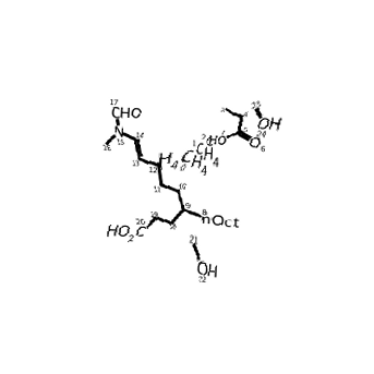 C.C.C.CCC(=O)O.CCCCCCCCC(CCCC=CN(C)C=O)CCC(=O)O.CO.CO